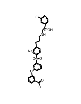 O=C([O-])c1cccc(Oc2cccc(S(=O)(=O)c3ccc(CCCNC[C@H](O)c4cccc(Cl)c4)cc3)c2)c1.[Na+]